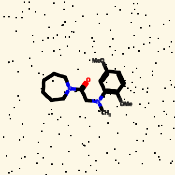 COc1ccc(OC)c(N(C)CC(=O)N2CCCCCC2)c1